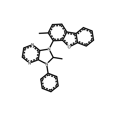 Cc1ccc2c(oc3ccccc32)c1N1c2nccnc2N(c2ccccc2)C1C